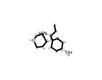 CC[C@@H](N)[C@]1(C2CCOCC2)CC[C@@H](O)CC1